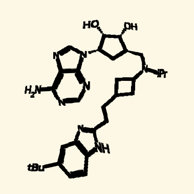 CC(C)N(C[C@H]1C[C@H](n2cnc3c(N)ncnc32)[C@H](O)[C@@H]1O)C1CC(CCc2nc3cc(C(C)(C)C)ccc3[nH]2)C1